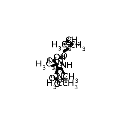 CCC1(C(=O)O)C2=C(C[N+](C(=O)[O-])(C(C)(C)C)C2)NN1COCC[Si](C)(C)C